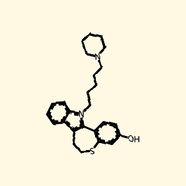 Oc1ccc2c(c1)SCCc1c-2n(CCCCCN2CCCCC2)c2ccccc12